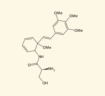 COc1cc(C=CC2(OC)C=CC=CC2NC(=O)[C@@H](N)CO)cc(OC)c1OC